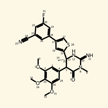 COc1cc(C2C(=O)N(C)C(=N)N[C@]2(C)c2cc(-c3cc(F)cc(C#N)c3)cs2)cc(OC)c1OC